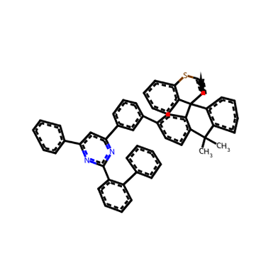 CC1(C)c2ccccc2C2(c3ccccc3Sc3ccccc32)c2cc(-c3cccc(-c4cc(-c5ccccc5)nc(-c5ccccc5-c5ccccc5)n4)c3)ccc21